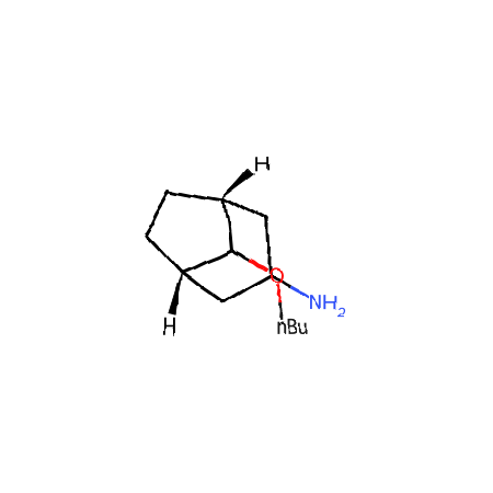 CCCCOC1[C@@H]2CC[C@H]1CC(N)C2